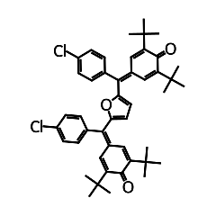 CC(C)(C)C1=CC(=C(c2ccc(Cl)cc2)c2ccc(C(=C3C=C(C(C)(C)C)C(=O)C(C(C)(C)C)=C3)c3ccc(Cl)cc3)o2)C=C(C(C)(C)C)C1=O